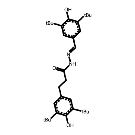 CC(C)(C)c1cc(C=NNC(=O)CCc2cc(C(C)(C)C)c(O)c(C(C)(C)C)c2)cc(C(C)(C)C)c1O